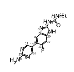 CCNC(=O)Nc1nc2cc(-c3cnc(N)nc3)c(F)cc2[nH]1